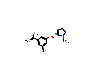 C=C(C)c1cc(OC[C@@H]2CCCN2C)cc(C(C)=O)c1